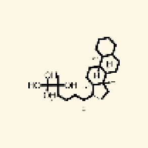 C[C@H](CC[C@H](C)C(C)(O)C(O)(O)O)[C@H]1CC[C@H]2[C@@H]3CCC4CCCC[C@]4(C)[C@H]3CC[C@]12C